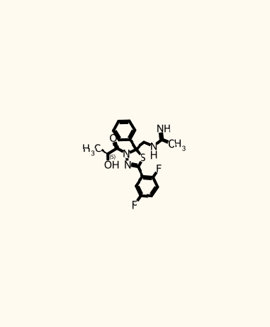 CC(=N)NCC1(c2ccccc2)SC(c2cc(F)ccc2F)=NN1C(=O)[C@H](C)O